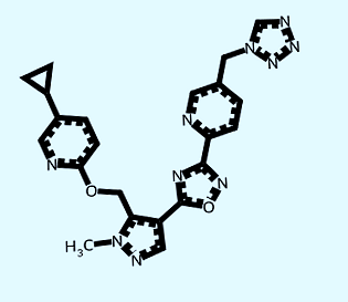 Cn1ncc(-c2nc(-c3ccc(Cn4cnnn4)cn3)no2)c1COc1ccc(C2CC2)cn1